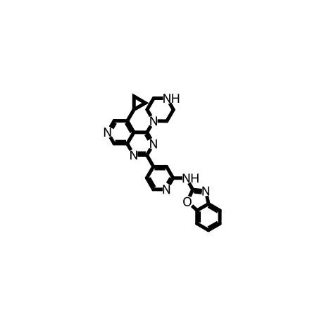 c1ccc2oc(Nc3cc(-c4nc(N5CCNCC5)c5c(C6CC6)cncc5n4)ccn3)nc2c1